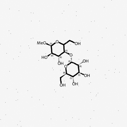 CO[C@H]1OC(CO)[C@@H](O[C@H]2O[C@H](CO)[C@@H](O)[C@H](O)[C@H]2O)[C@H](O)[C@H]1O